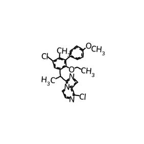 CCOc1c(C(C)c2ncc3c(Cl)nccn23)cc(Cl)c(C)c1-c1ccc(OC)cc1